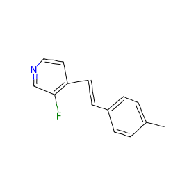 Cc1ccc(C=Cc2ccncc2F)cc1